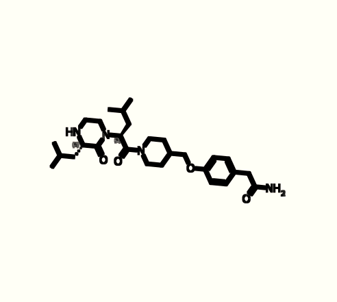 CC(C)C[C@@H]1NCCN([C@@H](CC(C)C)C(=O)N2CCC(COc3ccc(CC(N)=O)cc3)CC2)C1=O